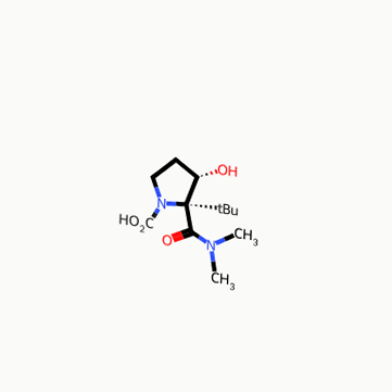 CN(C)C(=O)[C@]1(C(C)(C)C)[C@@H](O)CCN1C(=O)O